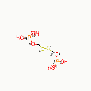 OP(O)OCSSCOP(O)O